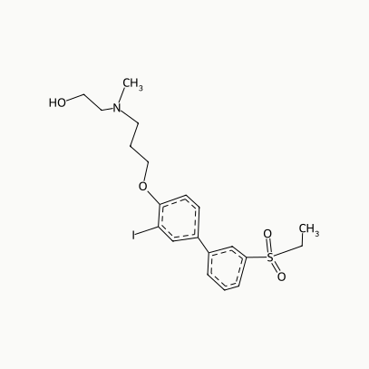 CCS(=O)(=O)c1cccc(-c2ccc(OCCCN(C)CCO)c(I)c2)c1